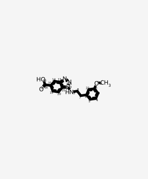 COc1cccc(CCNn2nnc3cc(C(=O)O)ccc32)c1